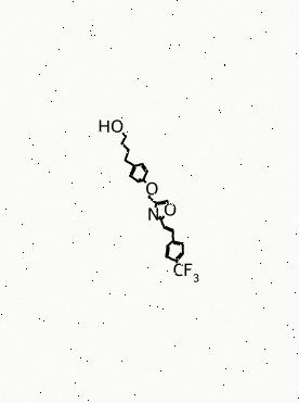 OCCCCc1ccc(OCc2coc(/C=C/c3ccc(C(F)(F)F)cc3)n2)cc1